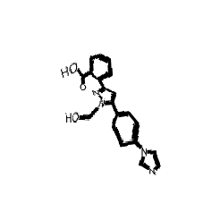 O=C(O)c1ccccc1-c1cc(-c2ccc(-n3ccnc3)cc2)n(CO)n1